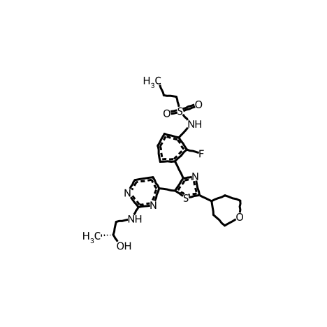 CCCS(=O)(=O)Nc1cccc(-c2nc(C3CCOCC3)sc2-c2ccnc(NC[C@@H](C)O)n2)c1F